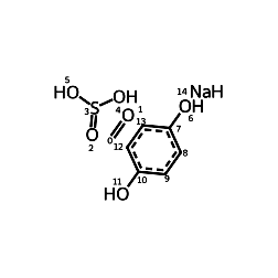 C=O.O=S(O)O.Oc1ccc(O)cc1.[NaH]